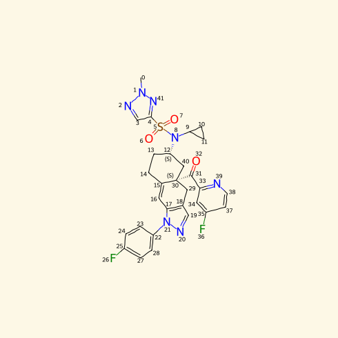 Cn1ncc(S(=O)(=O)N(C2CC2)[C@H]2CCC3=Cc4c(cnn4-c4ccc(F)cc4)C[C@]3(C(=O)c3cc(F)ccn3)C2)n1